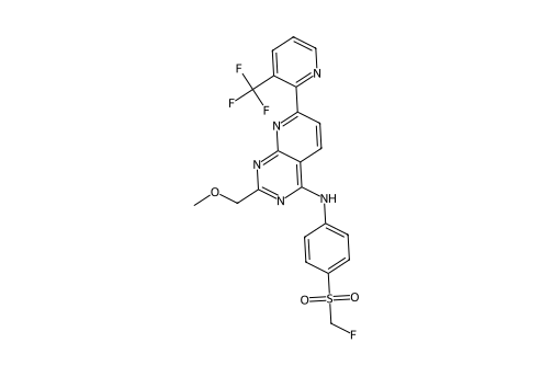 COCc1nc(Nc2ccc(S(=O)(=O)CF)cc2)c2ccc(-c3ncccc3C(F)(F)F)nc2n1